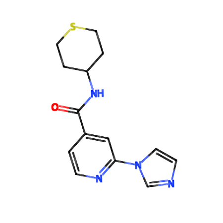 O=C(NC1CCSCC1)c1ccnc(-n2ccnc2)c1